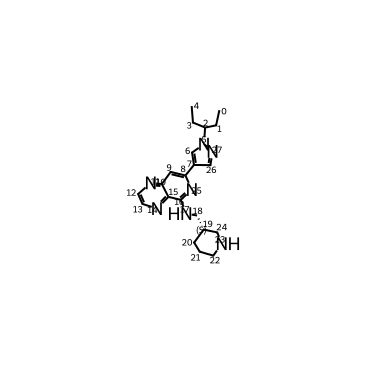 CCC(CC)n1cc(-c2cc3nccnc3c(NC[C@H]3CCCNC3)n2)cn1